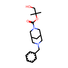 CC(C)(CO)OC(=O)N1CC2CC(CN(Cc3ccccc3)C2)C1